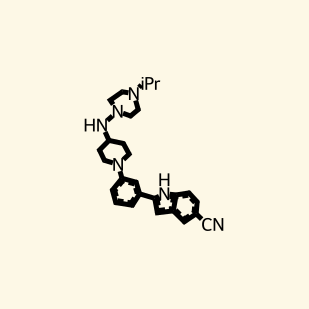 CC(C)N1CCN(NC2CCN(c3cccc(-c4cc5cc(C#N)ccc5[nH]4)c3)CC2)CC1